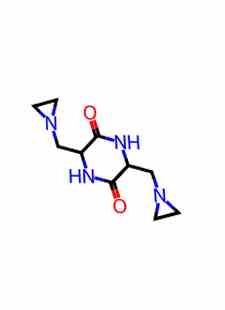 O=C1NC(CN2CC2)C(=O)NC1CN1CC1